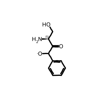 N[C@@H](CO)C(=O)C([O])c1ccccc1